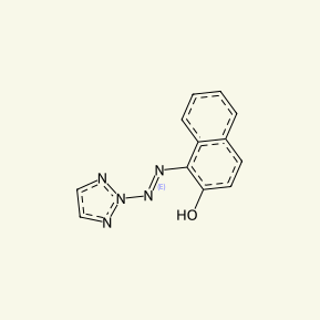 Oc1ccc2ccccc2c1/N=N/n1nccn1